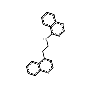 c1ccc2c(CCNc3ncnc4ccccc34)ccnc2c1